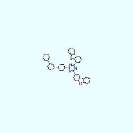 c1ccc(-c2cccc(-c3ccc(-c4nc(-c5ccc6oc7ccccc7c6c5)nc(-c5cccc6c5sc5ccccc56)n4)cc3)c2)cc1